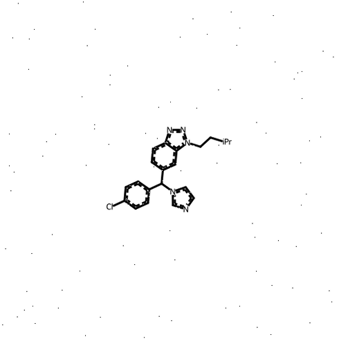 CC(C)CCn1nnc2ccc(C(c3ccc(Cl)cc3)n3ccnc3)cc21